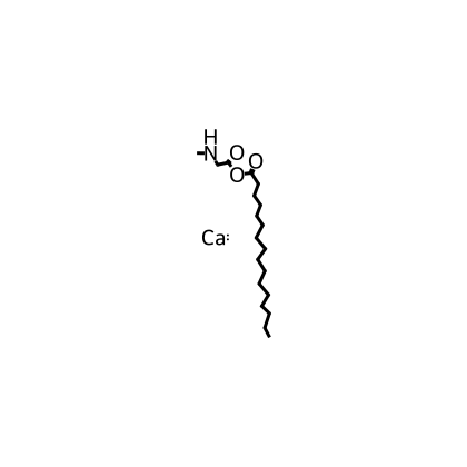 CCCCCCCCCCCCCCCC(=O)OC(=O)CNC.[Ca]